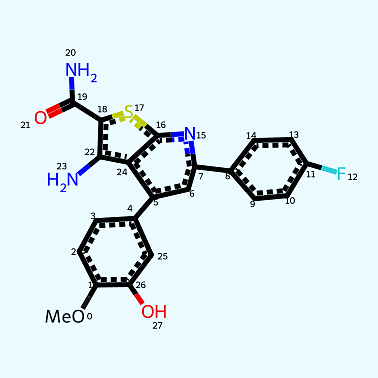 COc1ccc(-c2cc(-c3ccc(F)cc3)nc3sc(C(N)=O)c(N)c23)cc1O